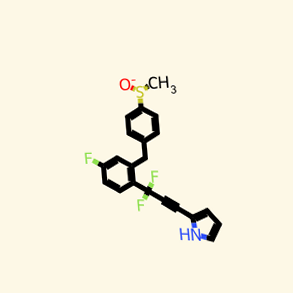 C[S+]([O-])c1ccc(Cc2cc(F)ccc2C(F)(F)C#Cc2ccc[nH]2)cc1